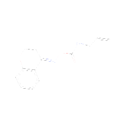 C=CCNC(=O)O/N=C1\CCOc2ccccc21